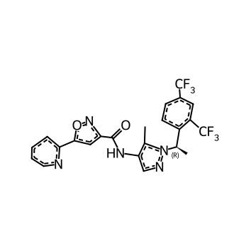 Cc1c(NC(=O)c2cc(-c3ccccn3)on2)cnn1[C@H](C)c1ccc(C(F)(F)F)cc1C(F)(F)F